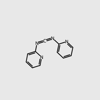 C(=Nc1ccccn1)=Nc1ccccn1